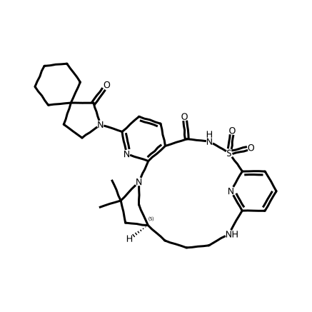 CC1(C)C[C@@H]2CCCNc3cccc(n3)S(=O)(=O)NC(=O)c3ccc(N4CCC5(CCCCC5)C4=O)nc3N1C2